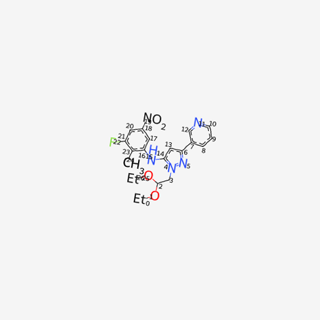 CCOC(Cn1nc(-c2cccnc2)cc1Nc1cc([N+](=O)[O-])cc(F)c1C)OCC